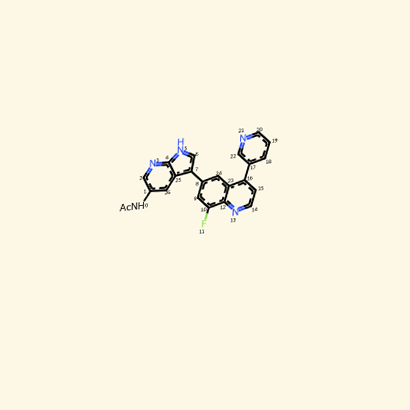 CC(=O)Nc1cnc2[nH]cc(-c3cc(F)c4nccc(-c5cccnc5)c4c3)c2c1